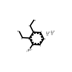 CCc1cccc([P-2])c1CC.[Li+].[Li+]